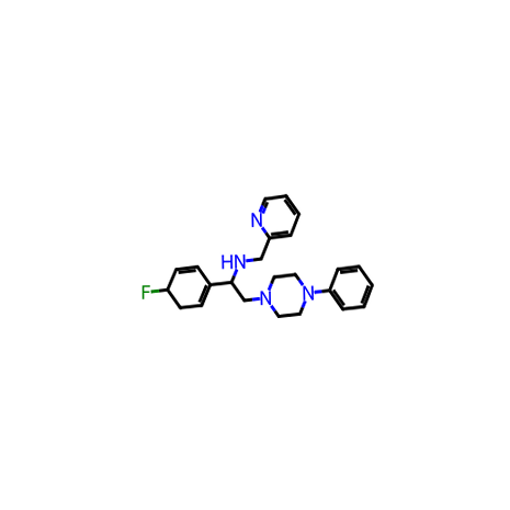 FC1C=CC(C(CN2CCN(c3ccccc3)CC2)NCc2ccccn2)=CC1